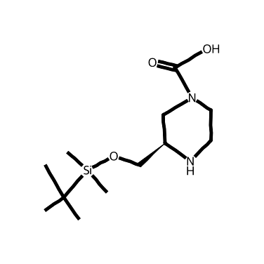 CC(C)(C)[Si](C)(C)OC[C@H]1CN(C(=O)O)CCN1